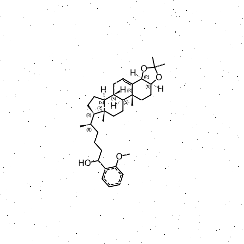 COc1ccccc1C(O)CCC[C@@H](C)[C@H]1CC[C@H]2[C@@H]3CC=C4[C@H]5OC(C)(C)O[C@H]5CC[C@]4(C)[C@H]3CC[C@]12C